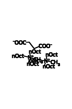 CCCCCCCC[N+](C)(CCCCCCCC)CCCCCCCC.CCCCCCCC[N+](C)(CCCCCCCC)CCCCCCCC.O=C([O-])CCC(=O)[O-]